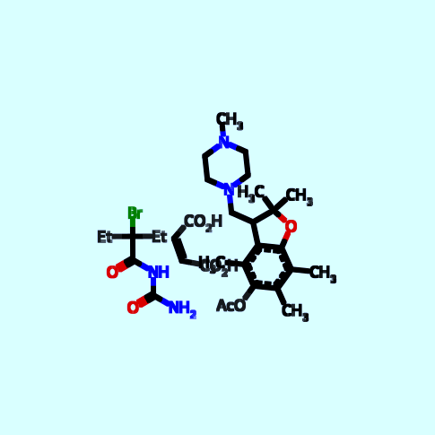 CC(=O)Oc1c(C)c(C)c2c(c1C)C(CN1CCN(C)CC1)C(C)(C)O2.CCC(Br)(CC)C(=O)NC(N)=O.O=C(O)/C=C\C(=O)O